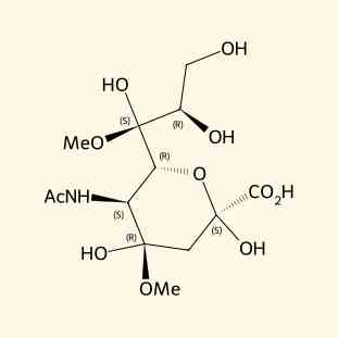 CO[C@@](O)([C@H](O)CO)[C@@H]1O[C@](O)(C(=O)O)C[C@@](O)(OC)[C@H]1NC(C)=O